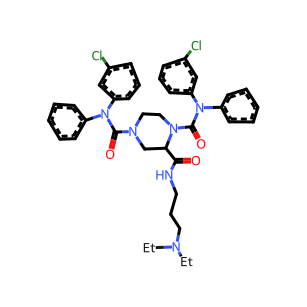 CCN(CC)CCCNC(=O)C1CN(C(=O)N(c2ccccc2)c2cccc(Cl)c2)CCN1C(=O)N(c1ccccc1)c1cccc(Cl)c1